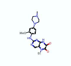 CCn1c(=O)c(=O)[nH]c2nc(Nc3ccc(N4CCN(C)CC4)cc3OC)ncc21